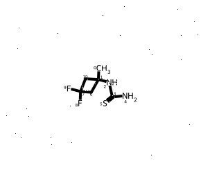 CC1(NC(N)=S)CC(F)(F)C1